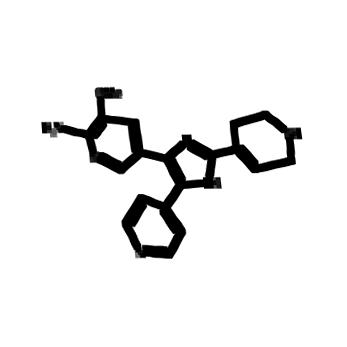 COc1cc(-c2nc(C3=CCNCC3)[nH]c2-c2ccncc2)cnc1N